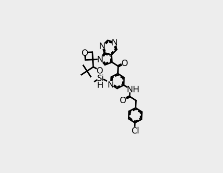 C[SiH](C)OC(C(C)(C)C)C1(n2cc(C(=O)c3cncc(NC(=O)Cc4ccc(Cl)cc4)c3)c3cncnc32)COC1